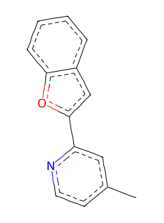 Cc1ccnc(-c2cc3ccccc3o2)c1